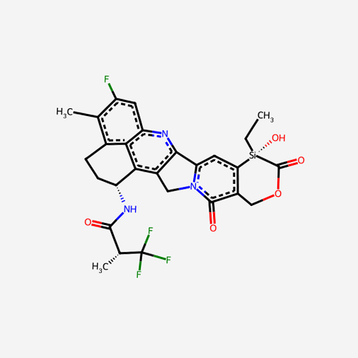 CC[Si@@]1(O)C(=O)OCc2c1cc1n(c2=O)Cc2c-1nc1cc(F)c(C)c3c1c2[C@H](NC(=O)[C@@H](C)C(F)(F)F)CC3